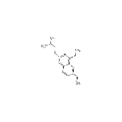 C=Cc1ccc2nc(CCC(C)C)nc(SC)c2c1